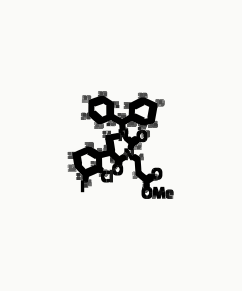 COC(=O)CCn1c(=O)c(-c2cccc(F)c2Cl)cn(C(c2ccccc2)c2ccccc2)c1=O